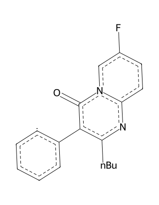 CCCCc1nc2ccc(F)cn2c(=O)c1-c1[c]cccc1